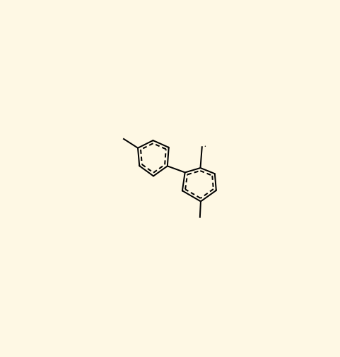 [CH2]c1ccc(C)cc1-c1ccc(C)cc1